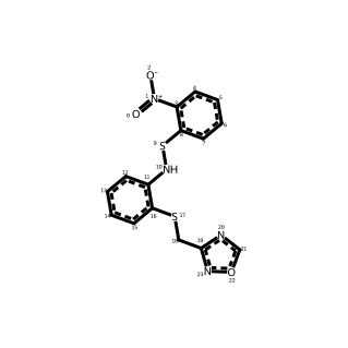 O=[N+]([O-])c1ccccc1SNc1ccccc1SCc1ncon1